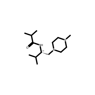 CC(C)C(=O)N[C@H](CN1CCN(C)CC1)C(C)C